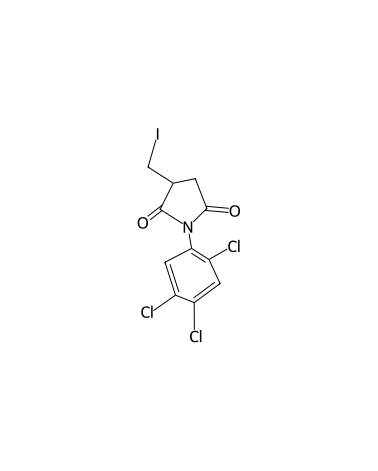 O=C1CC(CI)C(=O)N1c1cc(Cl)c(Cl)cc1Cl